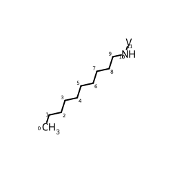 CCCCCCCCCC[NH][V]